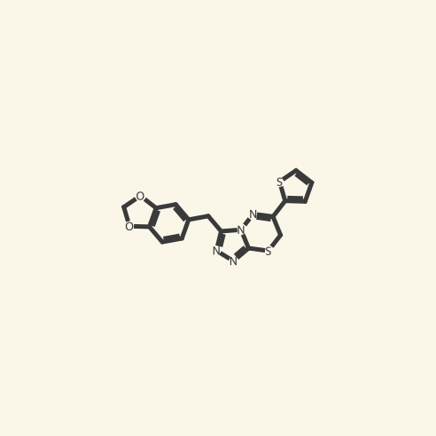 c1csc(C2=Nn3c(Cc4ccc5c(c4)OCO5)nnc3SC2)c1